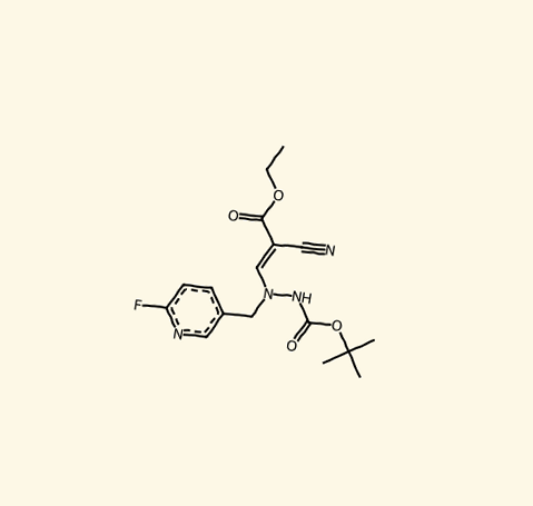 CCOC(=O)/C(C#N)=C/N(Cc1ccc(F)nc1)NC(=O)OC(C)(C)C